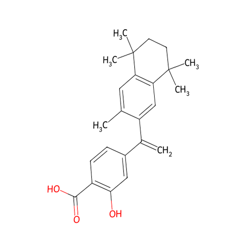 C=C(c1ccc(C(=O)O)c(O)c1)c1cc2c(cc1C)C(C)(C)CCC2(C)C